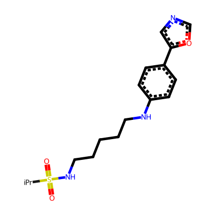 CC(C)S(=O)(=O)NCCCCCNc1ccc(-c2cnco2)cc1